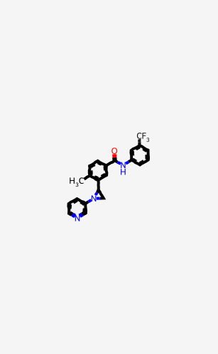 Cc1ccc(C(=O)Nc2cccc(C(F)(F)F)c2)cc1C1CN1c1cccnc1